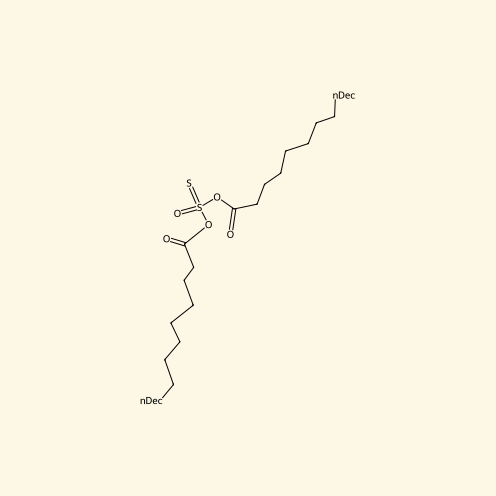 CCCCCCCCCCCCCCCCCC(=O)OS(=O)(=S)OC(=O)CCCCCCCCCCCCCCCCC